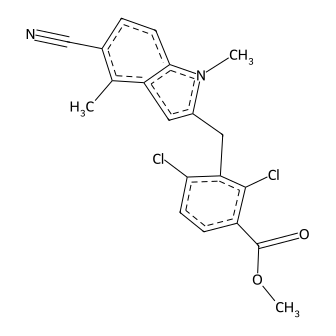 COC(=O)c1ccc(Cl)c(Cc2cc3c(C)c(C#N)ccc3n2C)c1Cl